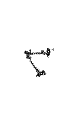 C[N+](C)(C)CC(COC(=O)NCCCCCCCCCCCC(=O)OCc1cc(=O)oc2cc(O)c(Br)cc12)OC(=O)NCCCCCCCCCCCC(=O)OCc1cc(=O)oc2cc(O)c(Br)cc12